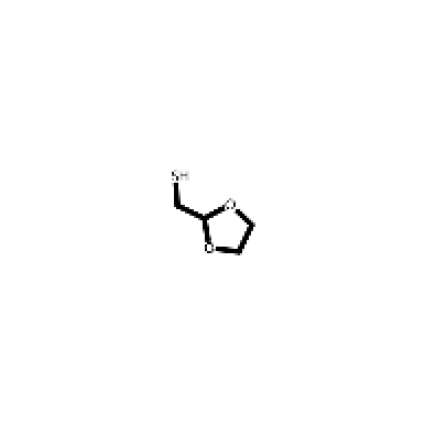 SCC1OCCO1